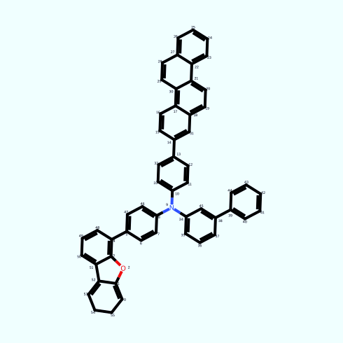 C1=c2oc3c(-c4ccc(N(c5ccc(-c6ccc7c(ccc8c9ccccc9ccc78)c6)cc5)c5cccc(-c6ccccc6)c5)cc4)cccc3c2=CCC1